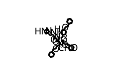 N[C@@H](Cc1c[nH]cn1)C(=O)N[C@@H](Cc1ccc(OCc2ccccc2)cc1)C(=O)N(C(=O)OCc1ccccc1)[C@H]([C]=O)COCc1ccccc1